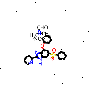 CN(C)C=O.N#Cc1ccccc1Oc1cc(S(=O)(=O)c2ccccc2)cc2[nH]c(-c3ccccn3)nc12